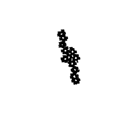 c1ccc(-c2c(-c3ccccc3)c(-c3ccc(-c4ccc(-c5ccc6ccccc6c5)s4)cc3)c3ccccc3c2-c2ccc(-c3ccc(-c4ccc5ccccc5c4)s3)cc2)cc1